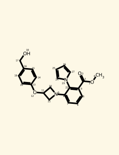 COC(=O)c1cccc(N2CC(Oc3ccc(CO)cc3)C2)c1-n1cccc1